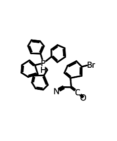 N#CC(=C=O)c1cccc(Br)c1.c1ccc(C[PH](c2ccccc2)(c2ccccc2)c2ccccc2)cc1